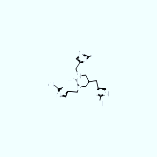 Clc1ncc(CC2CN(Cc3cnc(Cl)s3)NN(Cc3cnc(Cl)s3)C2)s1